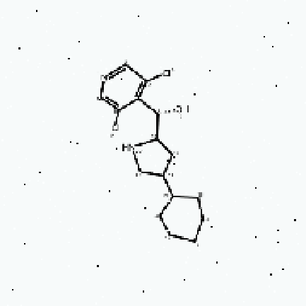 O[C@@H](c1c(Cl)cncc1Cl)C1CC(C2CCCCC2)CN1